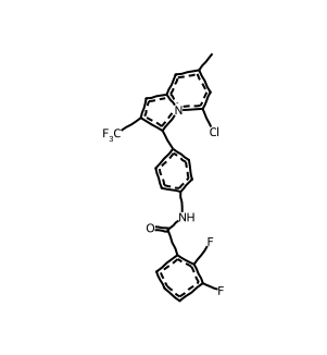 Cc1cc(Cl)n2c(-c3ccc(NC(=O)c4cccc(F)c4F)cc3)c(C(F)(F)F)cc2c1